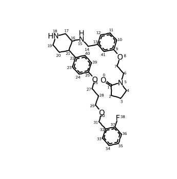 O=C1CCCN1CCOc1cccc(CNC2CNCCC2c2ccc(OCCCOCc3ccccc3F)cc2)c1